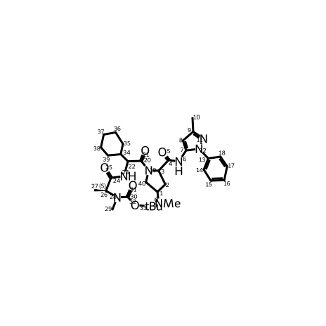 CNC1CC(C(=O)Nc2cc(C)nn2-c2ccccc2)N(C(=O)C(NC(=O)[C@H](C)N(C)C(=O)OC(C)(C)C)C2CCCCC2)C1